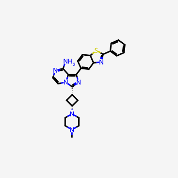 CN1CCN([C@H]2C[C@@H](c3nc(C4=CC5N=C(c6ccccc6)SC5C=C4)c4c(N)nccn43)C2)CC1